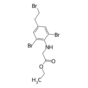 CCOC(=O)CNc1c(Br)cc(CCBr)cc1Br